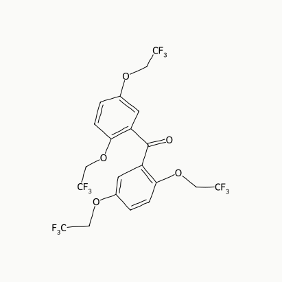 O=C(c1cc(OCC(F)(F)F)ccc1OCC(F)(F)F)c1cc(OCC(F)(F)F)ccc1OCC(F)(F)F